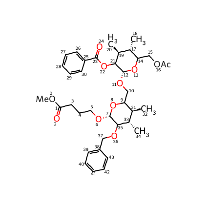 COC(=O)CCCO[C@@H]1OC(CO[C@H]2OC(COC(C)=O)[C@@H](C)[C@H](C)C2OC(=O)c2ccccc2)[C@@H](C)[C@H](C)C1OCc1ccccc1